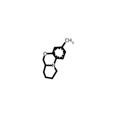 Cc1ccc2c(c1)OCC1CCCCN21